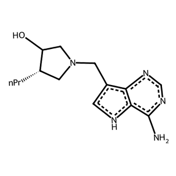 CCC[C@H]1CN(Cc2c[nH]c3c(N)ncnc23)CC1O